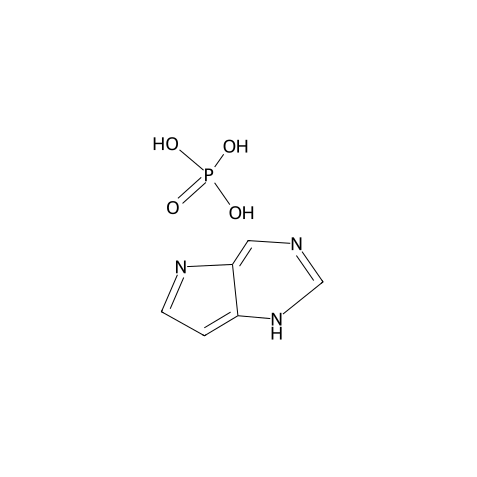 O=P(O)(O)O.c1cc2[nH]cncc-2n1